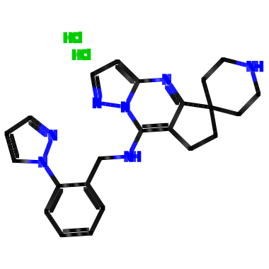 Cl.Cl.c1ccc(-n2cccn2)c(CNc2c3c(nc4ccnn24)C2(CCNCC2)CC3)c1